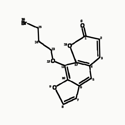 O=c1ccc2cc3ccoc3c(OCCCBr)c2o1